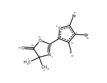 CC1(C)N=C(c2sc(Br)c(Br)c2F)OC1=O